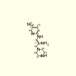 Cc1cc(N/C=C(\N)CN2CCNCC2)ncc1C#N